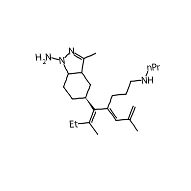 C=C(C)/C=C(CCCNCCC)/C(=C(\C)CC)[C@H]1CCC2C(C1)C(C)=NN2N